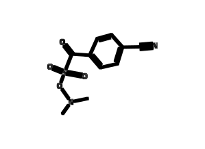 CN(C)OS(=O)(=O)C(=O)c1ccc(C#N)cc1